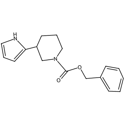 O=C(OCc1ccccc1)N1CCCC(c2ccc[nH]2)C1